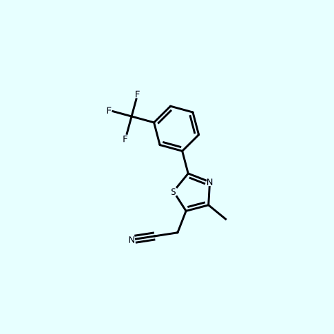 Cc1nc(-c2cccc(C(F)(F)F)c2)sc1CC#N